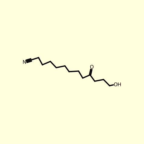 N#CCCCCCCCCC(=O)CCCO